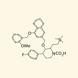 COc1ccccc1COc1cc(COC2C(c3ccc(F)cc3)CCN(C(=O)O)C2CC[Si](C)(C)C)cc2ccccc12